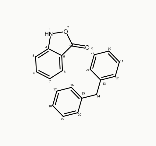 O=c1o[nH]c2ccccc12.c1ccc(Cc2ccccc2)cc1